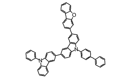 c1ccc(-c2ccc(-n3c4ccc(-c5ccc6c(c5)oc5ccccc56)cc4c4cc(-c5ccc6c(c5)c5ccccc5n6-c5ccccc5)ccc43)cc2)cc1